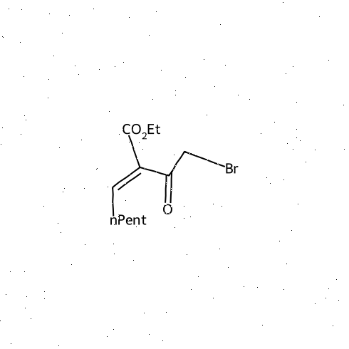 CCCCC/C=C(\C(=O)CBr)C(=O)OCC